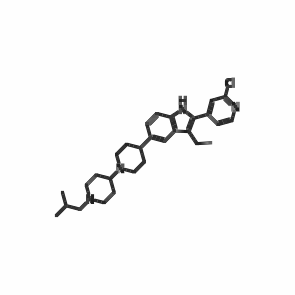 CCc1c(-c2ccnc(Cl)c2)[nH]c2ccc(C3CCN(C4CCN(CC(C)C)CC4)CC3)cc12